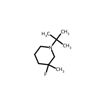 CC1(F)CCCN(C(C)(C)C)C1